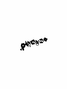 CN(C)c1cccc(-c2cnc(N3CCN(CC(=O)N4CCN(C5CCC5)CC4)CC3)cn2)c1